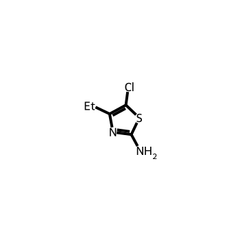 CCc1nc(N)sc1Cl